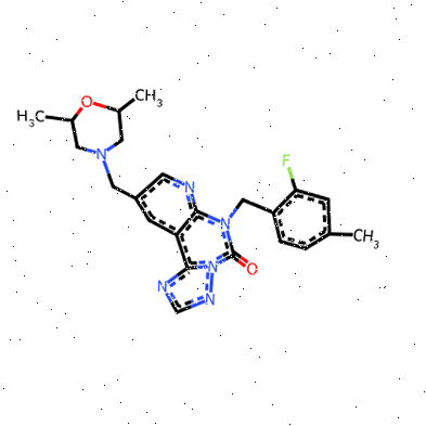 Cc1ccc(Cn2c(=O)n3ncnc3c3cc(CN4CC(C)OC(C)C4)cnc32)c(F)c1